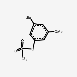 COc1cc(OS(=O)(=O)C(F)(F)F)cc(C(C)(C)C)c1